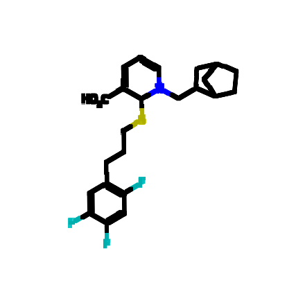 O=C(O)C1=CC=CN(CC2CC3CCC2C3)C1SCCCc1cc(F)c(F)cc1F